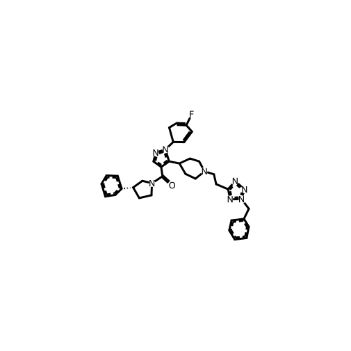 O=C(c1cnn(C2C=CC(F)=CC2)c1C1CCN(CCc2nnn(Cc3ccccc3)n2)CC1)N1CC[C@H](c2ccccc2)C1